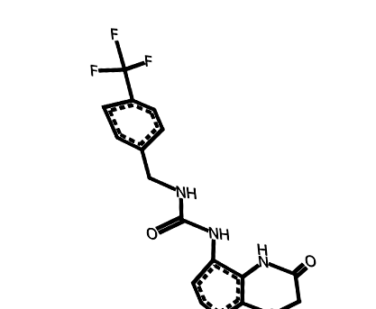 O=C1COc2cccc(NC(=O)NCc3ccc(C(F)(F)F)cc3)c2N1